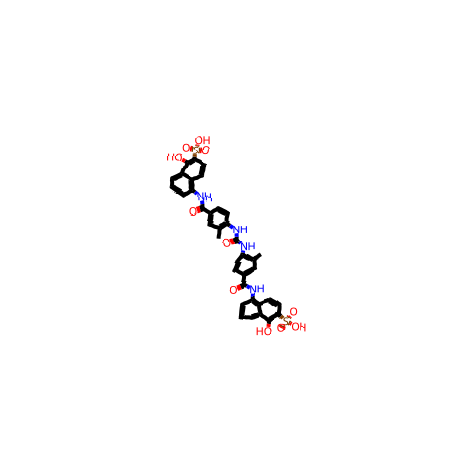 Cc1cc(C(=O)Nc2cccc3c(O)c(S(=O)(=O)O)ccc23)ccc1NC(=O)Nc1ccc(C(=O)Nc2cccc3c(O)c(S(=O)(=O)O)ccc23)cc1C